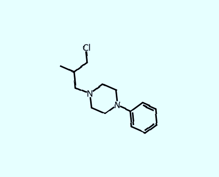 CC(CCl)CN1CCN(c2ccccc2)CC1